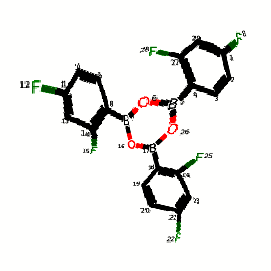 Fc1ccc(B2OB(c3ccc(F)cc3F)OB(c3ccc(F)cc3F)O2)c(F)c1